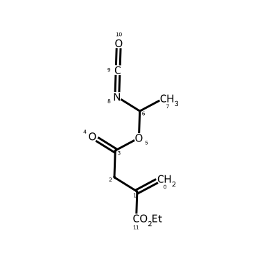 C=C(CC(=O)OC(C)N=C=O)C(=O)OCC